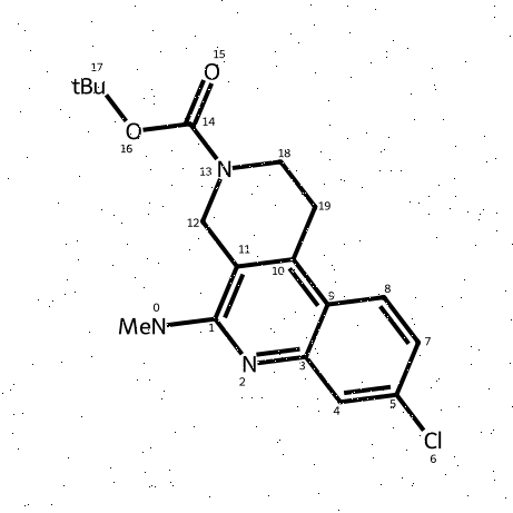 CNc1nc2cc(Cl)ccc2c2c1CN(C(=O)OC(C)(C)C)CC2